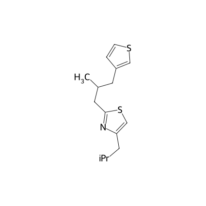 CC(C)Cc1csc(CC(C)Cc2ccsc2)n1